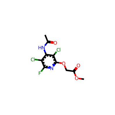 COC(=O)COc1nc(F)c(Cl)c(NC(C)=O)c1Cl